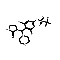 O=C1NCCC1C(c1c(Cl)cc(OS(=O)(=O)C(F)(F)F)cc1Cl)N1CCOCC1